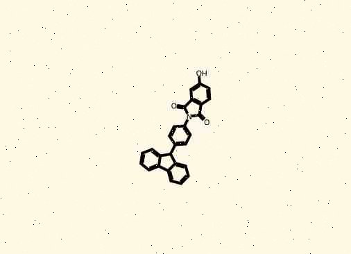 O=C1c2ccc(O)cc2C(=O)N1c1ccc(C2c3ccccc3-c3ccccc32)cc1